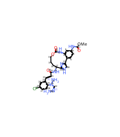 COC(=O)Nc1ccc2c(c1)NC(=O)OCCC[C@H](NC(=O)/C=C/c1cc(Cl)ccc1N(N)/C=N\N)c1nc-2c[nH]1